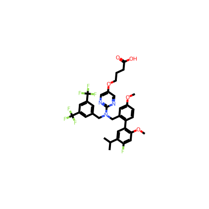 COc1ccc(-c2cc(C(C)C)c(F)cc2OC)c(CN(Cc2cc(C(F)(F)F)cc(C(F)(F)F)c2)c2ncc(OCCCC(=O)O)cn2)c1